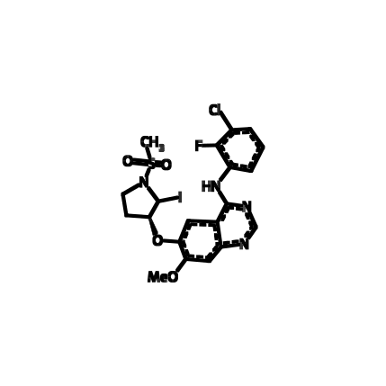 COc1cc2ncnc(Nc3cccc(Cl)c3F)c2cc1O[C@H]1CCN(S(C)(=O)=O)C1I